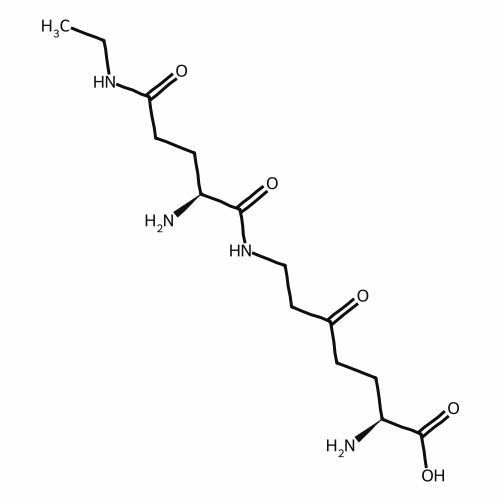 CCNC(=O)CC[C@H](N)C(=O)NCCC(=O)CC[C@H](N)C(=O)O